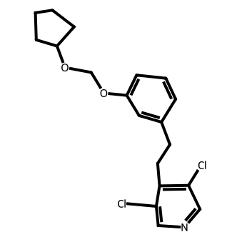 Clc1cncc(Cl)c1CCc1cccc(OCOC2CCCC2)c1